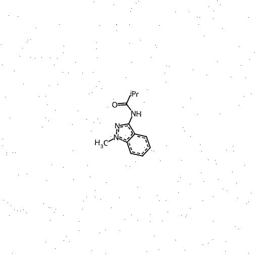 CC(C)C(=O)Nc1nn(C)c2ccccc12